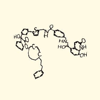 O=C(NCc1ccc(-c2cccc([C@](O)(C(=O)OC3CCCCCC(CCCc4ccccc4)CCCC3)c3ccccc3)c2)s1)c1ccc(CNC[C@H](O)c2ccc(O)c3[nH]c(=O)ccc23)cc1